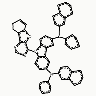 C1=Cc2oc3c(-n4c5ccc(N(c6ccccc6)c6ccc7ccccc7c6)cc5c5cc(N(c6ccccc6)c6ccc7ccccc7c6)ccc54)ncnc3c2CC1